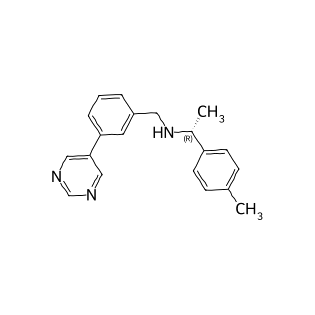 Cc1ccc([C@@H](C)NCc2cccc(-c3cncnc3)c2)cc1